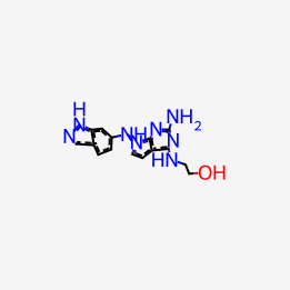 Nc1nc(NCCO)c2ccn(Nc3ccc4cn[nH]c4c3)c2n1